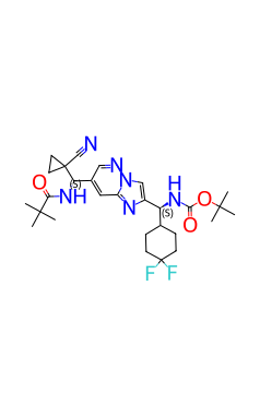 CC(C)(C)OC(=O)N[C@H](c1cn2ncc([C@H](NC(=O)C(C)(C)C)C3(C#N)CC3)cc2n1)C1CCC(F)(F)CC1